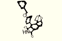 O=C1NC(=O)c2c1cc1ccc3c(c1c2-c1ccc(OCc2ccccc2)cc1)OCO3